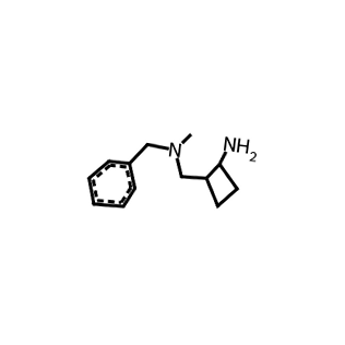 CN(Cc1ccccc1)CC1CCC1N